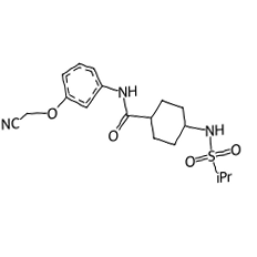 CC(C)S(=O)(=O)NC1CCC(C(=O)Nc2cccc(OCC#N)c2)CC1